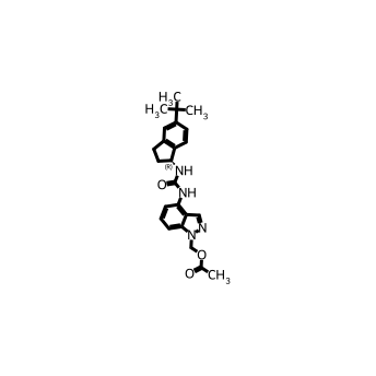 CC(=O)OCn1ncc2c(NC(=O)N[C@@H]3CCc4cc(C(C)(C)C)ccc43)cccc21